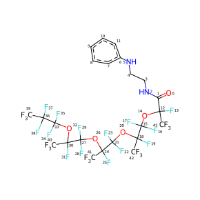 O=C(NCCNc1ccccc1)C(F)(OC(F)(F)C(F)(OC(F)(F)C(F)(OC(F)(F)C(F)(OC(F)(F)C(F)(F)C(F)(F)F)C(F)(F)F)C(F)(F)F)C(F)(F)F)C(F)(F)F